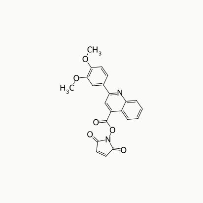 COc1ccc(-c2cc(C(=O)ON3C(=O)C=CC3=O)c3ccccc3n2)cc1OC